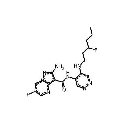 CCCC(F)CCNc1cnncc1NC(=O)c1c(N)nn2cc(F)cnc12